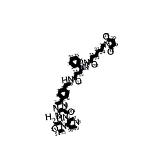 Nc1ncc(-c2ccc(CCNC(=O)CC/C(=N/NC(=O)CCCCCN3C(=O)C=CC3=O)c3ccccc3)cc2)nc1C(=O)Nc1cnccc1N1CCOCC1